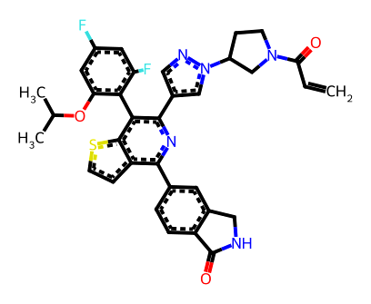 C=CC(=O)N1CCC(n2cc(-c3nc(-c4ccc5c(c4)CNC5=O)c4ccsc4c3-c3c(F)cc(F)cc3OC(C)C)cn2)C1